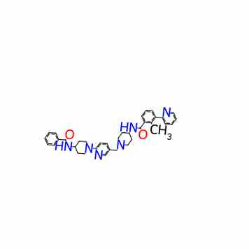 Cc1c(C(=O)NC2CCN(Cc3ccc(N4CCC(NC(=O)c5ccccc5)CC4)nc3)CC2)cccc1-c1ccccn1